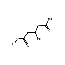 CCOC(=O)CC(O)CC(N)=O